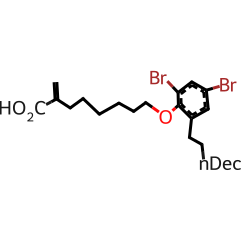 C=C(CCCCCCOc1c(Br)cc(Br)cc1CCCCCCCCCCCC)C(=O)O